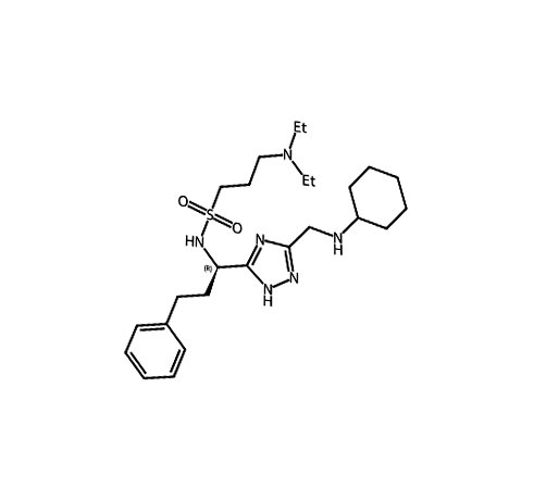 CCN(CC)CCCS(=O)(=O)N[C@H](CCc1ccccc1)c1nc(CNC2CCCCC2)n[nH]1